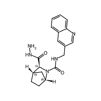 NNC(=O)[C@@H]1[C@H]2CC[C@H](C2)N1C(=O)NCc1cnc2ccccc2c1